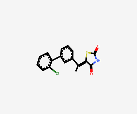 CC(=C1SC(=O)NC1=O)c1cccc(-c2ccccc2Cl)c1